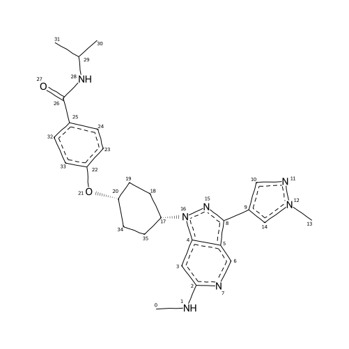 CNc1cc2c(cn1)c(-c1cnn(C)c1)nn2[C@H]1CC[C@@H](Oc2ccc(C(=O)NC(C)C)cc2)CC1